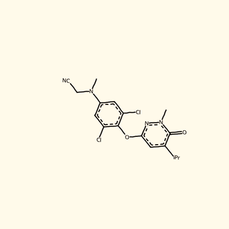 CC(C)c1cc(Oc2c(Cl)cc(N(C)CC#N)cc2Cl)nn(C)c1=O